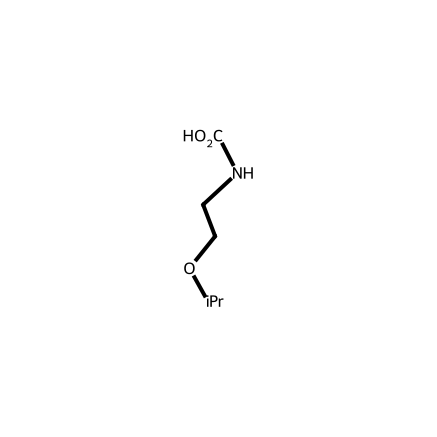 CC(C)OCCNC(=O)O